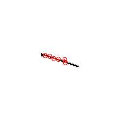 CCCCCCCCCOC(=O)CCCOCCOCCOCCOCC(C)C